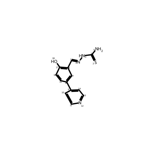 NC(=S)NN=Cc1cc(-c2ccncc2)ccc1O